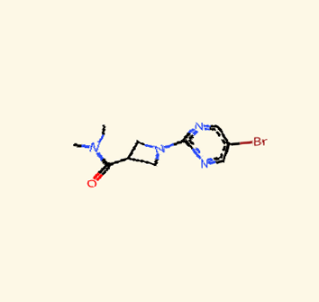 CN(C)C(=O)C1CN(c2ncc(Br)cn2)C1